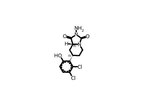 NN1C(=O)[C@H]2C[C@@H](c3c(O)ccc(Cl)c3Cl)CCN2C1=O